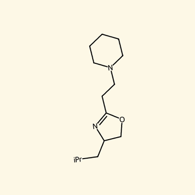 CC(C)CC1COC(CCN2CCCCC2)=N1